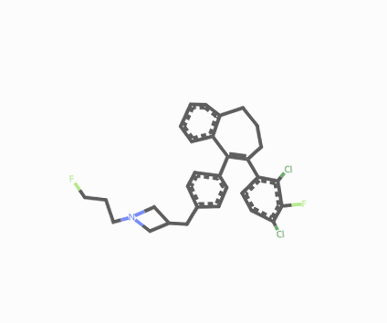 FCCCN1CC(Cc2ccc(C3=C(c4ccc(Cl)c(F)c4Cl)CCCc4ccccc43)cc2)C1